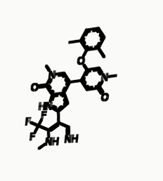 CN/C(=C(\C=N)c1cc2c(-c3cc(=O)n(C)cc3Oc3c(C)cccc3C)cn(C)c(=O)c2[nH]1)C(F)(F)F